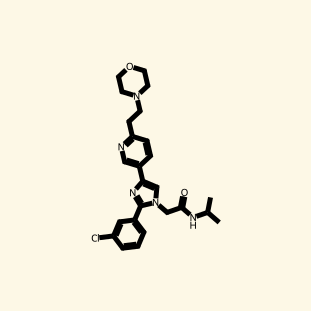 CC(C)NC(=O)Cn1cc(-c2ccc(CCN3CCOCC3)nc2)nc1-c1cccc(Cl)c1